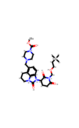 CC(C)(C)OC(=O)N1CCN(Cc2ccc3c4c2CCCn4c(=O)n3C2CCC(=O)N(COCC[Si](C)(C)C)C2=O)CC1